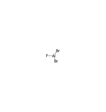 [F][Al]([Br])[Br]